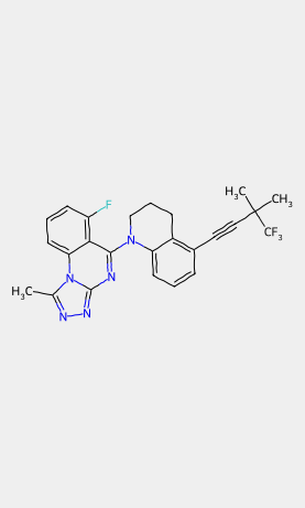 Cc1nnc2nc(N3CCCc4c(C#CC(C)(C)C(F)(F)F)cccc43)c3c(F)cccc3n12